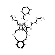 CCCCO[C@@H]1C2COCc3ccccc3COC1[C@H](OCCCC)[C@H](OCC1CCCCC1)O2